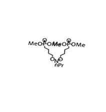 CCCN(OCCCCP(=O)(OC)OC)OCCCCP(=O)(OC)OC